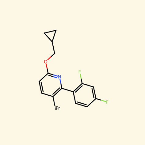 CC(C)c1ccc(OCC2CC2)nc1-c1ccc(F)cc1F